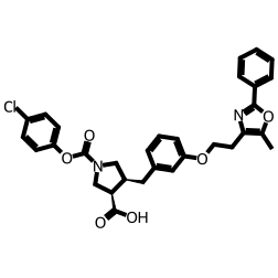 Cc1oc(-c2ccccc2)nc1CCOc1cccc(C[C@@H]2CN(C(=O)Oc3ccc(Cl)cc3)C[C@@H]2C(=O)O)c1